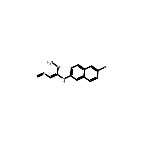 C=N/C=C(\NN)Nc1ccc2cc(Br)ccc2c1